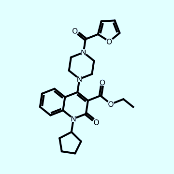 CCOC(=O)c1c(N2CCN(C(=O)c3ccco3)CC2)c2ccccc2n(C2CCCC2)c1=O